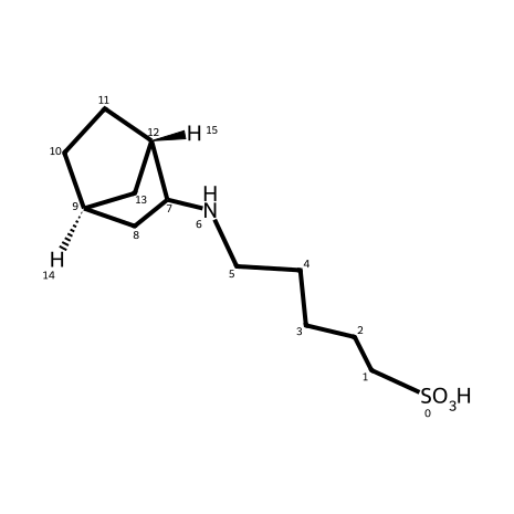 O=S(=O)(O)CCCCCNC1C[C@H]2CC[C@H]1C2